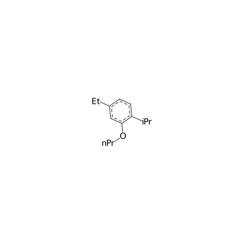 CCCOc1cc(CC)ccc1C(C)C